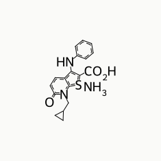 N.O=C(O)c1sc2c(ccc(=O)n2CC2CC2)c1Nc1ccccc1